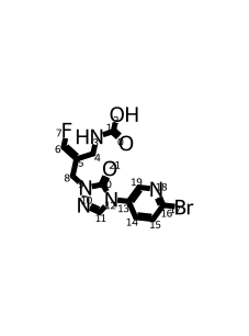 O=C(O)NC/C(=C\F)Cn1ncn(-c2ccc(Br)nc2)c1=O